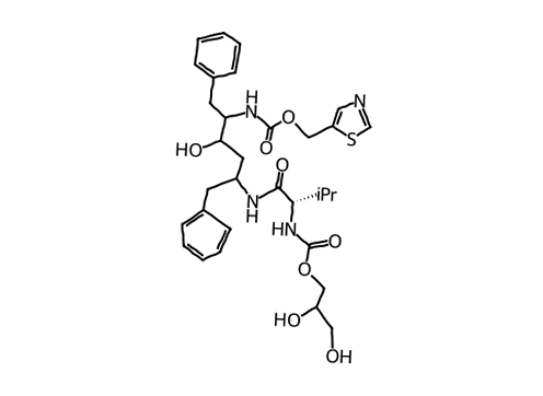 CC(C)[C@H](NC(=O)OCC(O)CO)C(=O)NC(Cc1ccccc1)CC(O)C(Cc1ccccc1)NC(=O)OCc1cncs1